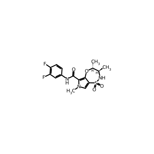 C[C@H]1NS(=O)(=O)c2cn(C)c(C(=O)Nc3ccc(F)c(F)c3)c2O[C@@H]1C